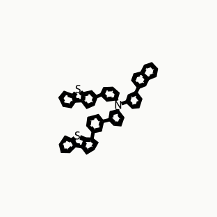 c1cc(-c2cccc(N(c3cccc(-c4ccc5ccccc5c4)c3)c3cccc(-c4ccc5c(c4)sc4ccccc45)c3)c2)cc(-c2cccc3c2sc2ccccc23)c1